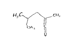 CC(=C=O)CC(C)C